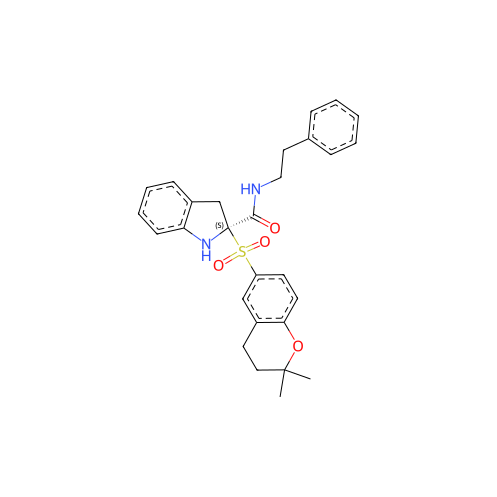 CC1(C)CCc2cc(S(=O)(=O)[C@]3(C(=O)NCCc4ccccc4)Cc4ccccc4N3)ccc2O1